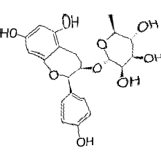 C[C@@H]1O[C@@H](O[C@@H]2Cc3c(O)cc(O)cc3O[C@@H]2c2ccc(O)cc2)[C@H](O)[C@H](O)[C@H]1O